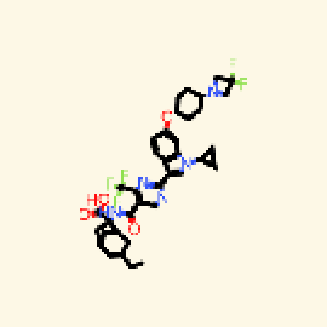 CCC1CC2CC(C1)C(NC(=O)c1cnc(-c3cn(C4CC4)c4cc(O[C@H]5CC[C@@H](N6CC(F)(F)C6)CC5)ccc34)nc1C(F)(F)F)(C(=O)O)C2